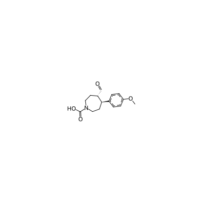 COc1ccc([C@H]2CCN(C(=O)O)CC[C@@H]2C=O)cc1